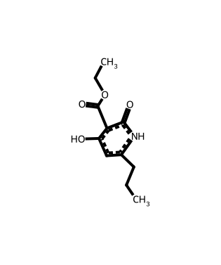 CCCc1cc(O)c(C(=O)OCC)c(=O)[nH]1